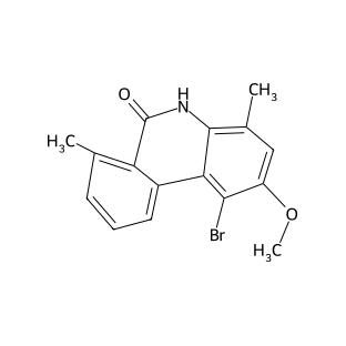 COc1cc(C)c2[nH]c(=O)c3c(C)cccc3c2c1Br